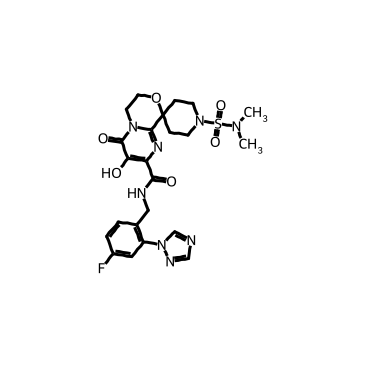 CN(C)S(=O)(=O)N1CCC2(CC1)OCCn1c2nc(C(=O)NCc2ccc(F)cc2-n2cncn2)c(O)c1=O